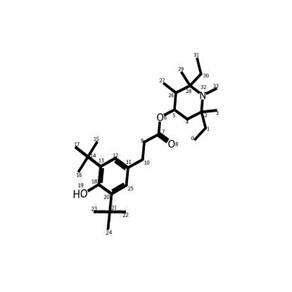 CCC1(C)CC(OC(=O)CCc2cc(C(C)(C)C)c(O)c(C(C)(C)C)c2)C(C)C(C)(CC)N1C